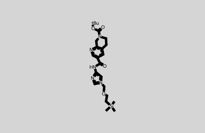 CC(C)(C)OC(=O)N1CCc2cc(C(=O)Nc3cn(COCC[Si](C)(C)C)cn3)cnc2C1